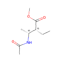 CC[C@@H](C(=O)OC)[C@@H](C)NC(C)=O